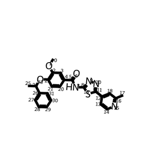 COc1cc(C(=O)Nc2nnc(-c3ccnc(C)c3)s2)ccc1OC(C)c1ccccc1